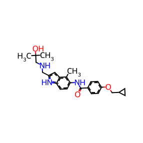 Cc1c(NC(=O)c2ccc(OCC3CC3)cc2)ccc2[nH]c(CNCC(C)(C)O)cc12